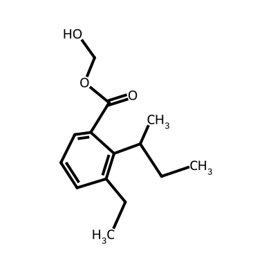 CCc1cccc(C(=O)OCO)c1C(C)CC